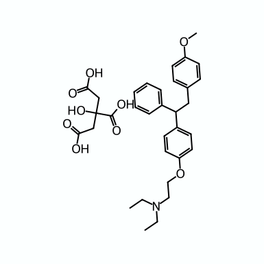 CCN(CC)CCOc1ccc(C(Cc2ccc(OC)cc2)c2ccccc2)cc1.O=C(O)CC(O)(CC(=O)O)C(=O)O